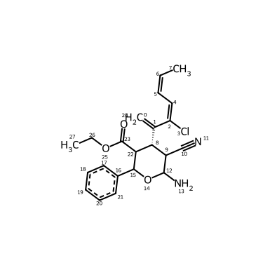 C=C(/C(Cl)=C\C=C/C)[C@@H]1C(C#N)C(N)OC(c2ccccc2)C1C(=O)OCC